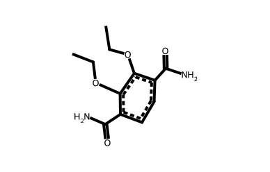 CCOc1c(C(N)=O)ccc(C(N)=O)c1OCC